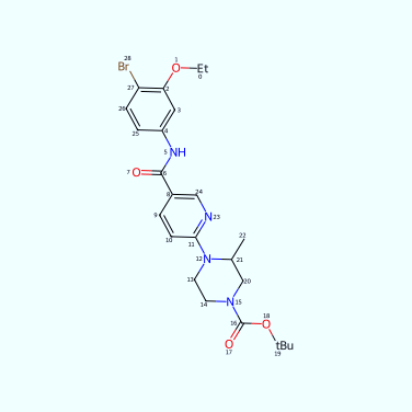 CCOc1cc(NC(=O)c2ccc(N3CCN(C(=O)OC(C)(C)C)CC3C)nc2)ccc1Br